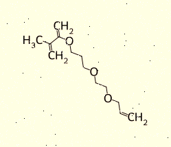 C=CCOCCOCCCOC(=C)C(=C)C